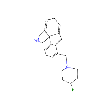 FC1CCN(CC2=CCC=C3C2=CC2=CCC=C4CNCCC243)CC1